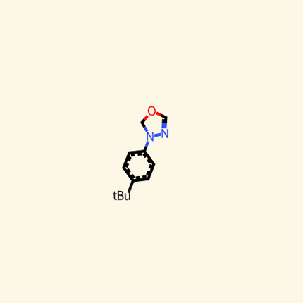 CC(C)(C)c1ccc(N2COC=N2)cc1